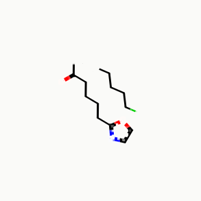 CC(=O)CCCCc1ncco1.CCCCCCl